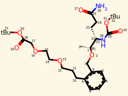 C[C@@H](OCc1ccccc1CCCOCCOCC(=O)OC(C)(C)C)[C@H](CCC(N)=O)NC(=O)OC(C)(C)C